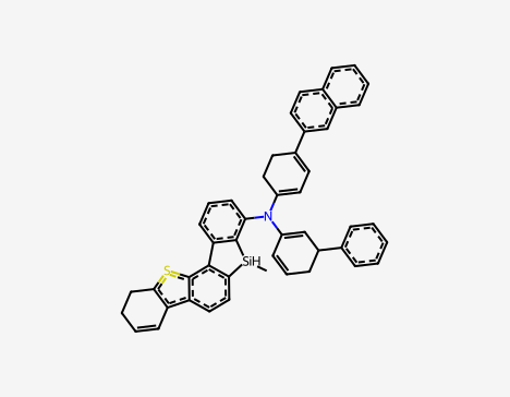 C[SiH]1c2ccc3c4c(sc3c2-c2cccc(N(C3=CC(c5ccccc5)CC=C3)C3=CC=C(c5ccc6ccccc6c5)CC3)c21)CCC=C4